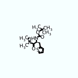 CON(C)C(=O)[C@H](Cc1cccs1)NC(=O)OC(C)(C)C